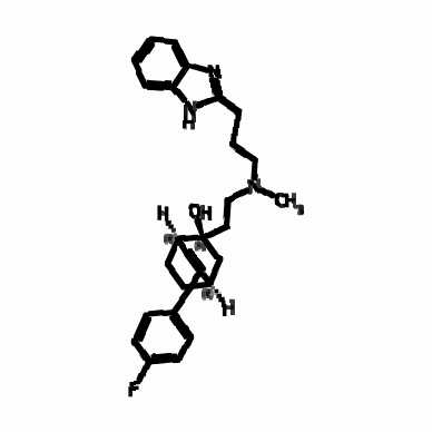 CN(CCCc1nc2ccccc2[nH]1)CC[C@]1(O)C[C@H]2CC[C@@H]1C=C2c1ccc(F)cc1